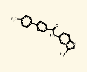 Cc1cnc2ccc(NC(=O)c3ccc(-c4ccc(C(F)(F)F)cc4)cc3)cn12